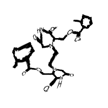 Cc1ccccc1C(=O)OCC1C(=O)NC(=O)CN1CCN1CC(=O)NC(=O)C1COC(=O)c1ccccc1C